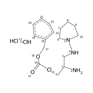 CC(N)CNN1CCCCC1.Cl.Cl.O=C(Cl)OCc1ccccc1